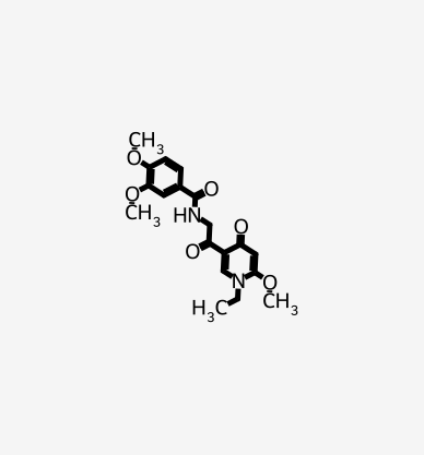 CCn1cc(C(=O)CNC(=O)c2ccc(OC)c(OC)c2)c(=O)cc1OC